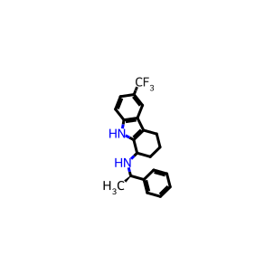 C[C@@H](NC1CCCc2c1[nH]c1ccc(C(F)(F)F)cc21)c1ccccc1